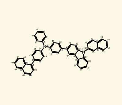 c1ccc(N(c2ccc(-c3ccc4c(c3)c3ccccc3n4-c3ccc4ccccc4c3)cc2)c2ccc(-c3cccc4ccccc34)cc2)cc1